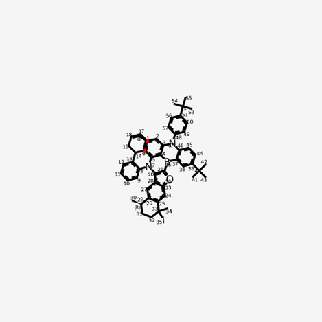 Cc1cc2c3c(c1)N(c1ccccc1C1C=CC=CC1)c1c(oc4cc5c(cc14)[C@H](C)CCC5(C)I)B3c1cc(C(C)(C)C)ccc1N2c1ccc(C(C)(C)C)cc1